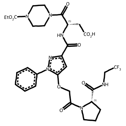 CCOC(=O)N1CCN(C(=O)[C@H](CC(=O)O)NC(=O)c2cc(OCC(=O)N3CCC[C@H]3C(=O)NCC(F)(F)F)n(-c3ccccc3)n2)CC1